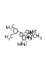 COCC(C)(OCc1cc(C)cc(C)c1)c1cnc(C)nc1C1CCNCC1